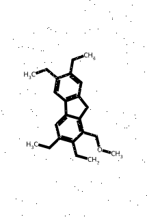 CCc1cc2c(cc1CC)-c1cc(CC)c(CC)c(COC)c1C2